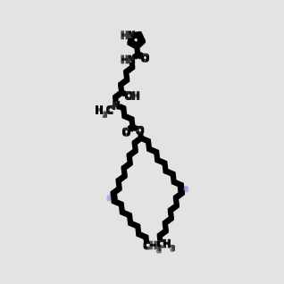 CCCCCCCC/C=C\CCCCCCCCC(CCCCCCCC/C=C\CCCCCCCC)OC(=O)CCCN(C)CC(O)CCCCNC(=O)c1cc[nH]c1